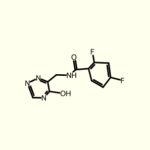 O=C(NCc1nncnc1O)c1ccc(F)cc1F